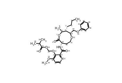 CCCC[C@H]1[C@H](C)OC(=O)[C@@H](NC(=O)c2nccc(OC)c2OCOC(=O)C(C)C)CCO[C@@H]1COc1ccccc1